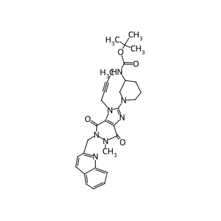 CC#CCn1c(N2CCCC(NC(=O)OC(C)(C)C)C2)nc2c(=O)n(C)n(Cc3ccc4ccccc4n3)c(=O)c21